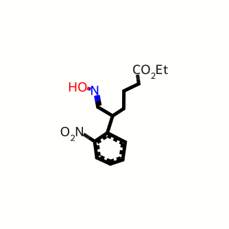 CCOC(=O)CCCC(C=NO)c1ccccc1[N+](=O)[O-]